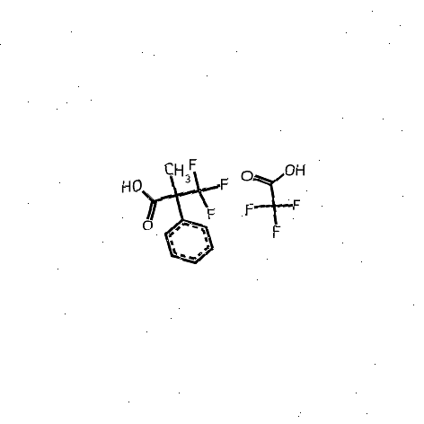 CC(C(=O)O)(c1ccccc1)C(F)(F)F.O=C(O)C(F)(F)F